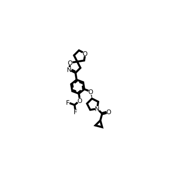 O=C(C1CC1)N1CC[C@H](Oc2cc(C3=NOC4(CCOC4)C3)ccc2OC(F)F)C1